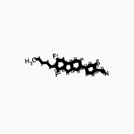 CCCCCc1c(F)cc2c(c1F)Cc1cc(-c3ccc(C#N)c(F)c3)ccc1-2